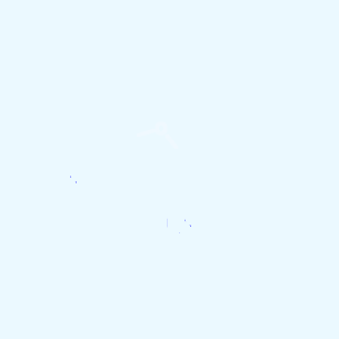 CC(CN)CCOC(C)CN